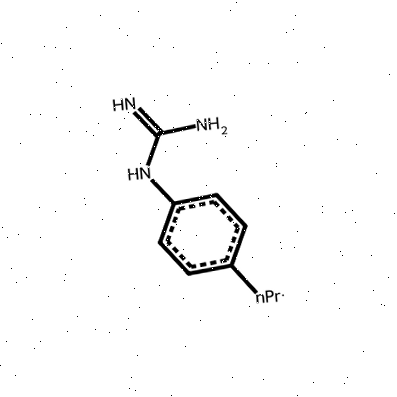 CC[CH]c1ccc(NC(=N)N)cc1